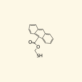 O=C(OCS)c1c2ccccc2cc2ccccc12